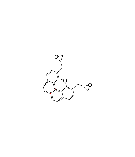 c1ccc2c(Oc3c(CC4CO4)ccc4ccccc34)c(CC3CO3)ccc2c1